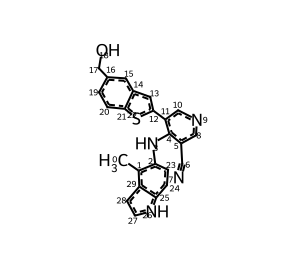 Cc1c(Nc2c(C#N)cncc2-c2cc3cc(CO)ccc3s2)ccc2[nH]ccc12